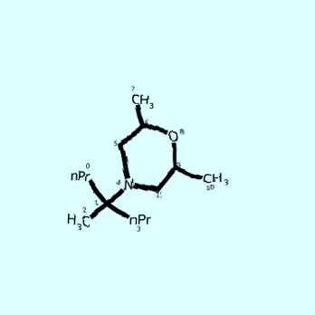 CCCC(C)(CCC)N1CC(C)OC(C)C1